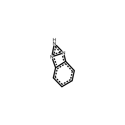 c1ccc2c(c1)n1[nH]n21